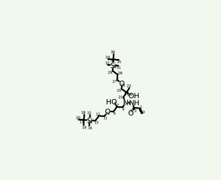 C=CC(=O)NN(CC(O)COCCC[Si](C)(C)C(C)(C)C)CC(C)(O)COCCC[Si](C)(C)C(C)(C)C